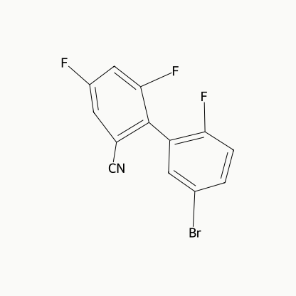 N#Cc1cc(F)cc(F)c1-c1cc(Br)ccc1F